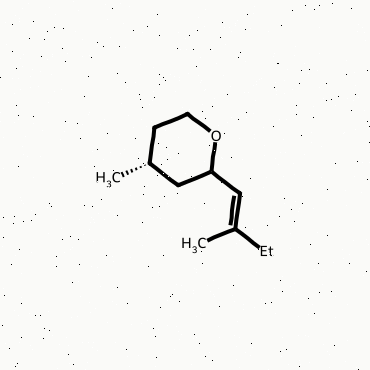 CCC(C)=CC1C[C@H](C)CCO1